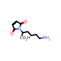 NCCCCC(C(=O)O)N1C(=O)C=CC1=O